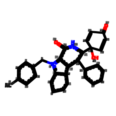 N#Cc1ccc(Cn2c3ccccc3c3c(-c4ccccc4)c(C4(O)C=CC(=O)C=C4)[nH]c(=O)c32)cc1